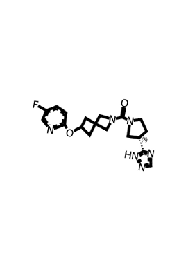 O=C(N1CC[C@H](c2ncn[nH]2)C1)N1CC2(CC(Oc3ccc(F)cn3)C2)C1